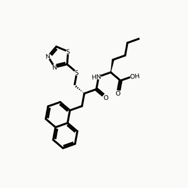 CCCC[C@H](NC(=O)[C@@H](CSc1nncs1)Cc1cccc2ccccc12)C(=O)O